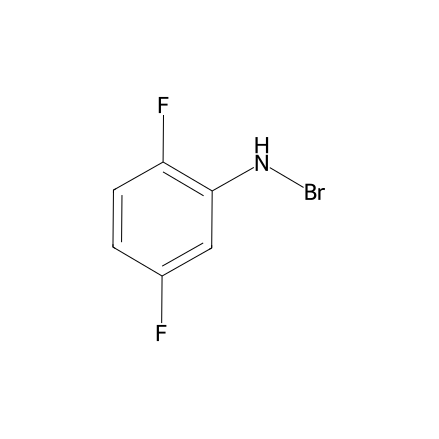 Fc1ccc(F)c(NBr)c1